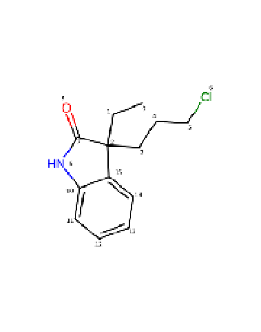 CCC1(CCCCl)C(=O)Nc2ccccc21